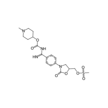 CN1CCC(OC(=O)NC(=N)c2ccc(N3CC(COS(C)(=O)=O)OC3=O)cc2)CC1